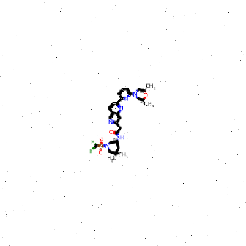 C[C@@H]1CN(c2cccc(-c3ccc4cnc(CC(=O)N[C@@H]5CN(S(=O)(=O)C(F)F)CC(C)(C)C5)cc4n3)n2)C[C@H](C)O1